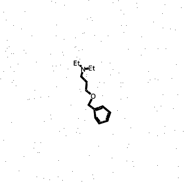 CCN(CC)CCCOCc1ccccc1